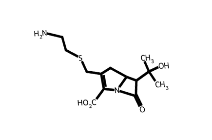 CC(C)(O)C1C(=O)N2C(C(=O)O)=C(CSCCN)CC12